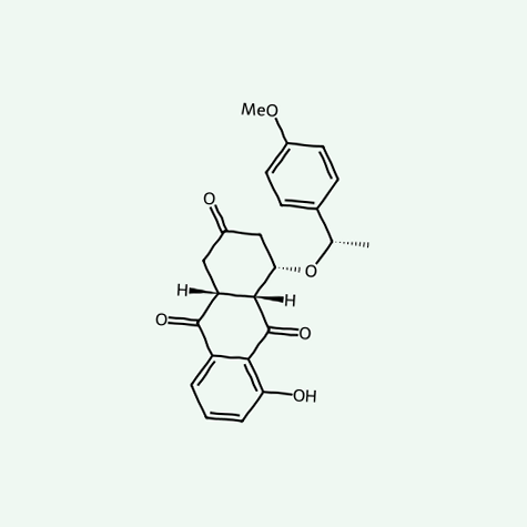 COc1ccc([C@H](C)O[C@H]2CC(=O)C[C@H]3C(=O)c4cccc(O)c4C(=O)[C@@H]23)cc1